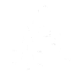 Cc1c(C)c(C)c(-c2ccc(OC(CCCC(F)(F)F)c3ccc(C(=O)NCCC(=O)O)cc3)cc2)c(C)c1C